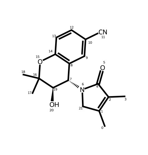 CC1=C(C)C(=O)N([C@H]2c3cc(C#N)ccc3OC(C)(C)[C@@H]2O)C1